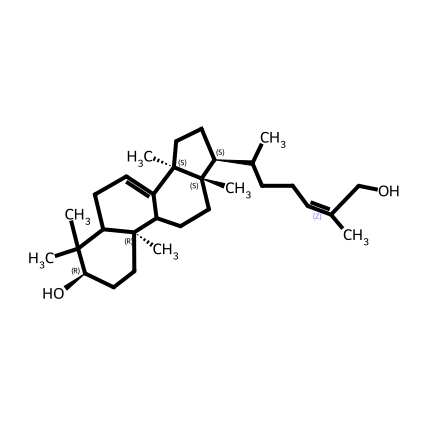 C/C(=C/CCC(C)[C@@H]1CC[C@]2(C)C3=CCC4C(C)(C)[C@H](O)CC[C@]4(C)C3CC[C@@]12C)CO